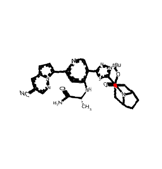 C[C@@H](Nc1cc(-c2ccc3cc(C#N)cnn23)ncc1-c1nnc(N2CC3CCC(C2)N3C(=O)OC(C)(C)C)s1)C(N)=O